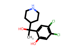 CC(O)(c1cc(Cl)c(Cl)cc1O)C1CCNCC1